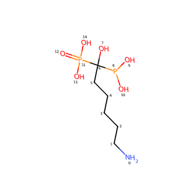 NCCCCCC(O)(P(O)O)P(=O)(O)O